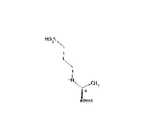 CCCCC[C@H](C)NCCCS(=O)(=O)O